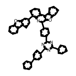 c1ccc(-c2ccc(-c3nc(-c4ccccc4)nc(-c4ccc(-c5nc6c(-c7ccc8c(c7)oc7ccccc78)cccc6c6c5oc5ccccc56)cc4)n3)cc2)cc1